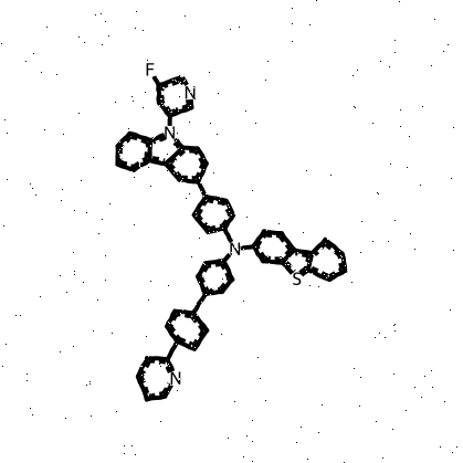 Fc1cncc(-n2c3ccccc3c3cc(-c4ccc(N(c5ccc(-c6ccc(-c7ccccn7)cc6)cc5)c5ccc6c(c5)sc5ccccc56)cc4)ccc32)c1